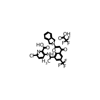 CC(Nc1ccc(Cl)nc1C(=O)O)c1cc(C(F)(F)F)cc2c(=O)cc(N3Cc4ccccc4C3)oc12.O=C(O)C(F)(F)F